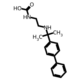 CC(C)(NCCNC(=O)O)c1ccc(-c2ccccc2)cc1